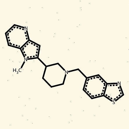 Cn1c(C2CCCN(Cc3ccc4scnc4c3)C2)cc2ncccc21